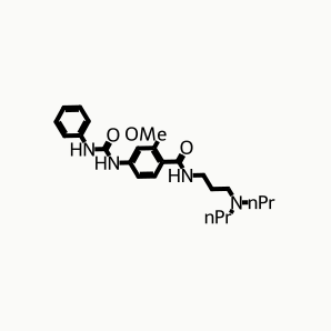 CCCN(CCC)CCCNC(=O)c1ccc(NC(=O)Nc2ccccc2)cc1OC